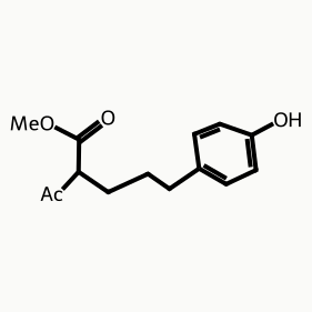 COC(=O)C(CCCc1ccc(O)cc1)C(C)=O